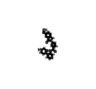 COc1ccc2c(c1)C(=O)N(c1ccc(C(=O)Nc3cnccc3N3CCNCC3)s1)C2